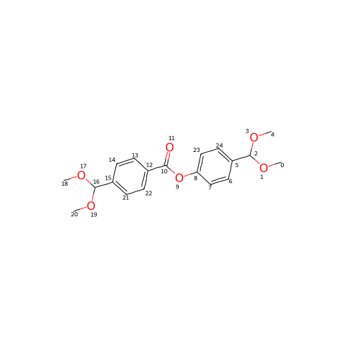 COC(OC)c1ccc(OC(=O)c2ccc(C(OC)OC)cc2)cc1